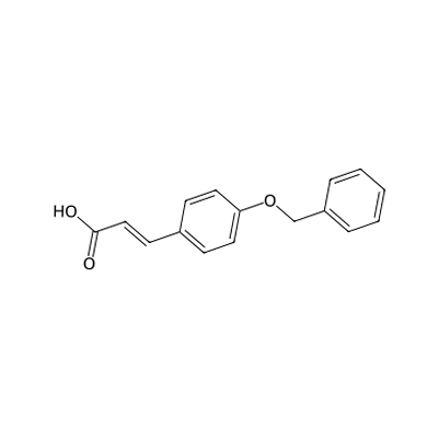 O=C(O)/C=C/c1ccc(OCc2ccccc2)cc1